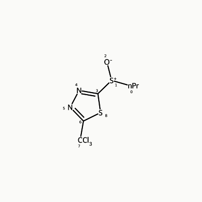 CCC[S+]([O-])c1nnc(C(Cl)(Cl)Cl)s1